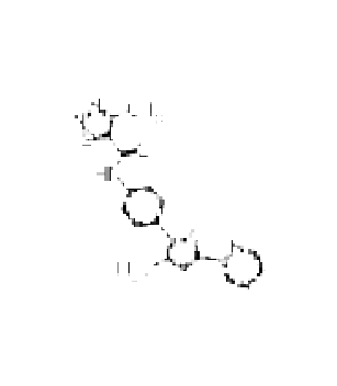 Cc1cc(-c2ccccn2)sc1-c1ccc(NC(=O)c2snnc2C)cc1